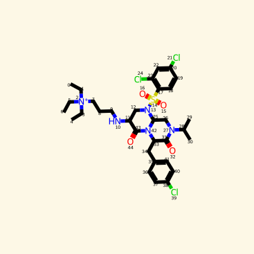 CC[N+](CC)(CC)CCCNC1CN(S(=O)(=O)c2ccc(Cl)cc2Cl)C2CN(C(C)C)C(=O)C(Cc3ccc(Cl)cc3)N2C1=O